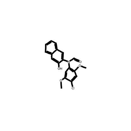 COc1cc(N(C=O)c2cc3ccccc3cc2O)c(OC)cc1Cl